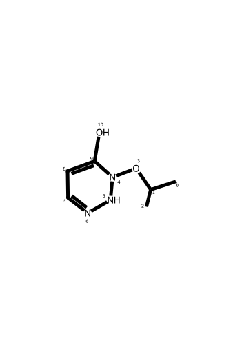 CC(C)ON1NN=CC=C1O